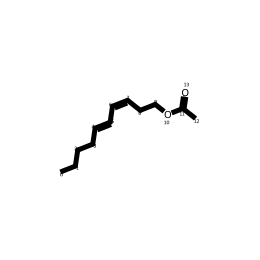 CCCC/C=C/C=C\CCOC(C)=O